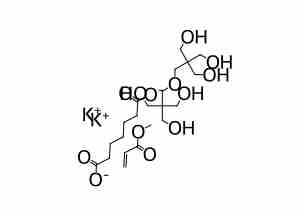 C=CC(=O)OC.O=C([O-])CCCCCC(=O)[O-].OCC(CO)(CO)COCC(CO)(CO)CO.[K+].[K+]